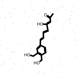 CC(=O)/C=C(O)/C=C/C=C/c1ccc(CO)c(CO)c1